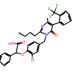 CCCCc1nc(C)c(-c2ccccc2C(F)(F)F)c(=O)n1Cc1ccc(OC(C(=O)O)c2ccccc2)c(Cl)c1